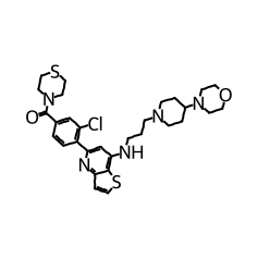 O=C(c1ccc(-c2cc(NCCCN3CCC(N4CCOCC4)CC3)c3sccc3n2)c(Cl)c1)N1CCSCC1